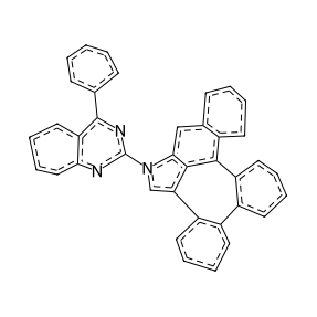 c1ccc(-c2nc(-n3cc4c5c(c6ccccc6cc53)-c3ccccc3-c3ccccc3-4)nc3ccccc23)cc1